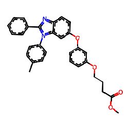 COC(=O)CCCOc1cccc(Oc2ccc3nc(-c4ccccc4)n(-c4ccc(C)cc4)c3c2)c1